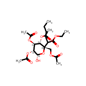 CCCCC(C(=O)OCC)[C@]1(COC(C)=O)O[C@H](O)[C@H](OC(C)=O)[C@@H](OC(C)=O)[C@@H]1OC(C)=O